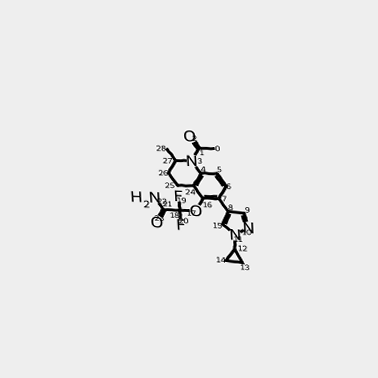 CC(=O)N1c2ccc(-c3cnn(C4CC4)c3)c(OC(F)(F)C(N)=O)c2CCC1C